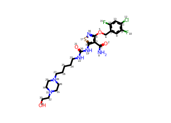 NC(=O)c1c(OCc2cc(F)c(Cl)cc2F)nsc1NC(=O)NCCCCCN1CCN(CCO)CC1